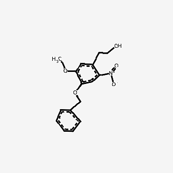 COc1cc(CCO)c([N+](=O)[O-])cc1OCc1ccccc1